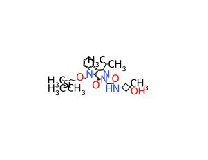 CC(C)c1nn(CC(=O)NC2CC(C)(O)C2)c(=O)c2c1c1ccccc1n2COCC[Si](C)(C)C